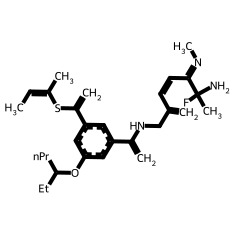 C=C(/C=C\C(=N/C)C(C)(N)F)CNC(=C)c1cc(OC(CC)CCC)cc(C(=C)S/C(C)=C\C)c1